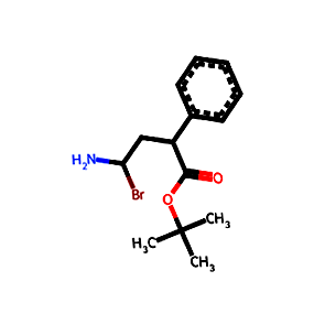 CC(C)(C)OC(=O)C(CC(N)Br)c1ccccc1